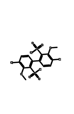 COc1c(Cl)ccc(-c2ccc(Cl)c(OC)c2S(=O)(=O)Cl)c1S(=O)(=O)Cl